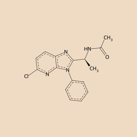 CC(=O)N[C@@H](C)c1nc2ccc(Cl)nc2n1-c1ccccc1